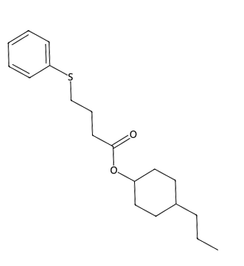 CCCC1CCC(OC(=O)CCCSc2ccccc2)CC1